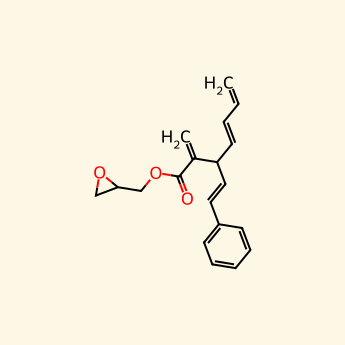 C=CC=CC(C=Cc1ccccc1)C(=C)C(=O)OCC1CO1